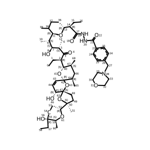 CC[C@@H](C(=O)[C@@H](C)[C@@H](O)[C@H](C)[C@@H]1O[C@@H]([C@@H](CC)C(=O)NNC(=O)c2ccc(CN3CCOCC3)cc2)CCC1C)[C@H]1O[C@]2(C=C[C@@H](O)[C@]3(CC[C@@](C)([C@H]4CC[C@](O)(CC)[C@H](C)O4)O3)O2)[C@H](C)C[C@@H]1C